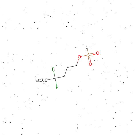 CCOC(=O)C(F)(F)CCCOS(C)(=O)=O